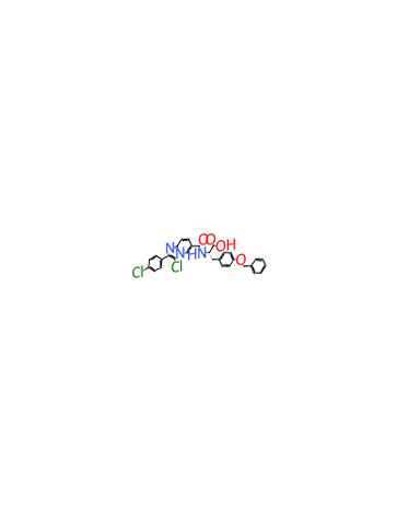 O=C(N[C@@H](Cc1ccc(OCc2ccccc2)cc1)C(=O)O)c1ccc2nc(-c3ccc(Cl)cc3)c(Cl)n2c1